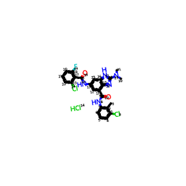 Cc1c(Cl)cccc1NC(=O)c1cc(NC(=O)c2c(F)cccc2Cl)cc2[nH]c(N(C)C)nc12.Cl